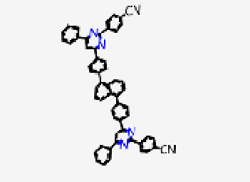 N#Cc1ccc(-c2nc(-c3ccccc3)cc(-c3ccc(-c4cccc5c(-c6ccc(-c7cc(-c8ccccc8)nc(-c8ccc(C#N)cc8)n7)cc6)cccc45)cc3)n2)cc1